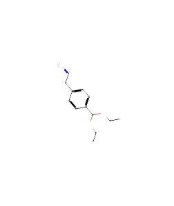 CCOC(OCC)c1ccc(CC=N)cc1